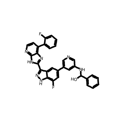 OC(Nc1cncc(-c2cc(F)c3[nH]nc(-c4nc5c(-c6ccccc6F)ccnc5[nH]4)c3c2)c1)c1ccccc1